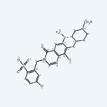 CCS(=O)(=O)c1ccc(Cl)cc1Cn1cnc2c(Cl)c(CN3CCN(C(=O)O)CC3)c(OC(F)(F)F)cc2c1=O